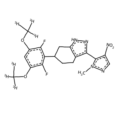 [2H]C([2H])([2H])Oc1cc(OC([2H])([2H])[2H])c(F)c(C2CCc3c(-c4c([N+](=O)[O-])cnn4C)n[nH]c3C2)c1F